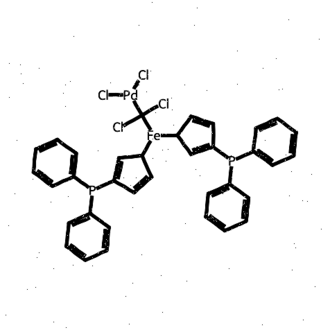 [Cl][Pd]([Cl])[C](Cl)(Cl)[Fe]([CH]1C=CC(P(c2ccccc2)c2ccccc2)=C1)[CH]1C=CC(P(c2ccccc2)c2ccccc2)=C1